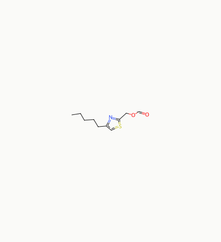 CCCCCc1csc(CO[C]=O)n1